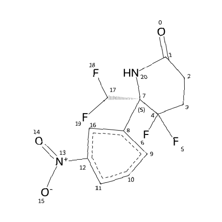 O=C1CCC(F)(F)[C@](c2cccc([N+](=O)[O-])c2)(C(F)F)N1